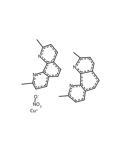 Cc1ccc2ccc3ccc(C)nc3c2n1.Cc1ccc2ccc3ccc(C)nc3c2n1.O=[N+]([O-])[O-].[Cu+]